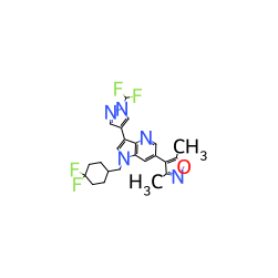 Cc1noc(C)c1-c1cnc2c(-c3cnn(C(F)F)c3)cn(CC3CCC(F)(F)CC3)c2c1